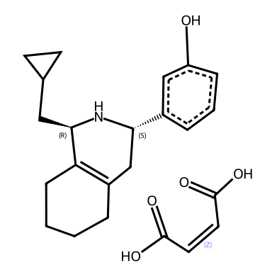 O=C(O)/C=C\C(=O)O.Oc1cccc([C@@H]2CC3=C(CCCC3)[C@@H](CC3CC3)N2)c1